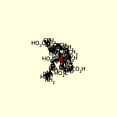 CO[C@@H]1C[C@@H](C[C@H]2CC[C@H](C)C([C@@H](C)C(=O)O)O2)O[C@]2(O[C@@](C)(C3CC[C@@](C)([C@@H]4O[C@@H]([C@@H]5O[C@@](O)(COC(=O)NCCSSC[C@H](NC(=O)[C@H](CC(=O)O)NC(=O)[C@H](CC(=O)O)NC(=O)[C@H](CCCNC(=N)N)NC(=O)[C@H](CC(=O)O)NC(=O)CC[C@H](NC(=O)c6ccc(NCc7cnc8nc(N)[nH]c(=O)c8n7)cc6)C(=O)O)C(=O)O)[C@H](C)C[C@@H]5C)C[C@@H]4C)O3)C[C@H]2C)[C@@H]1C